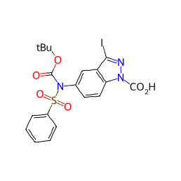 CC(C)(C)OC(=O)N(c1ccc2c(c1)c(I)nn2C(=O)O)S(=O)(=O)c1ccccc1